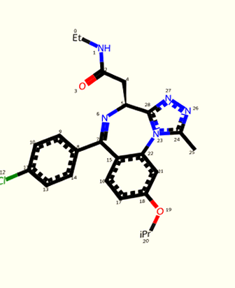 CCNC(=O)C[C@@H]1N=C(c2ccc(Cl)cc2)c2ccc(OC(C)C)cc2-n2c(C)nnc21